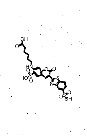 O=C(O)CCCCCNc1cc2oc(=O)c(-c3nc4cc(S(=O)(=O)O)ccc4s3)cc2cc1S(=O)(=O)O